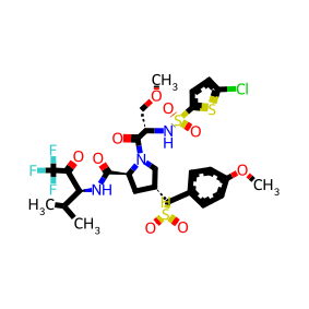 COC[C@H](NS(=O)(=O)c1ccc(Cl)s1)C(=O)N1C[C@H](C(c2ccc(OC)cc2)[SH](=O)=O)C[C@H]1C(=O)N[C@H](C(=O)C(F)(F)F)C(C)C